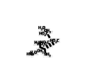 CC(=O)O.CC(=O)O.CC(=O)O.CC(=O)O.NCCN.O.O.O.O.[NaH]